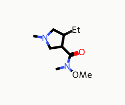 CCC1CN(C)CC1C(=O)N(C)OC